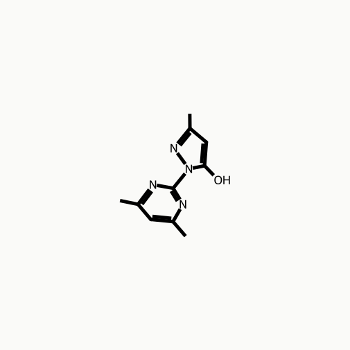 Cc1cc(C)nc(-n2nc(C)cc2O)n1